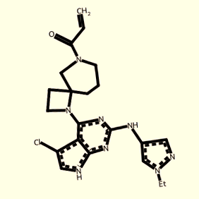 C=CC(=O)N1CCCC2(CCN2c2nc(Nc3cnn(CC)c3)nc3[nH]cc(Cl)c23)C1